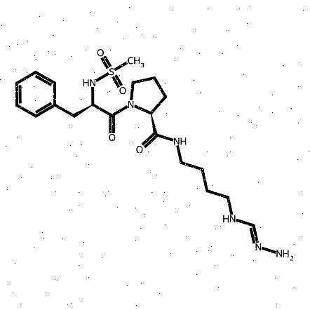 CS(=O)(=O)N[C@H](Cc1ccccc1)C(=O)N1CCC[C@H]1C(=O)NCCCCNC=NN